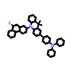 CC1(C)c2ccccc2N(c2ccc3c(c2)cc(F)c2ccccc23)c2ccc(-c3ccc(N(c4ccccc4)c4ccccc4)cc3)cc21